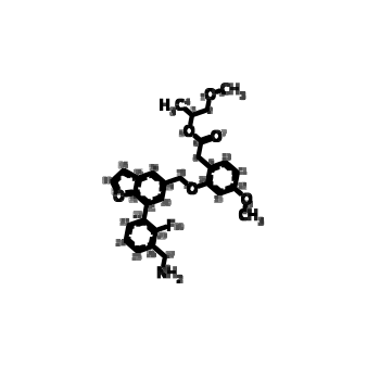 COCC(C)OC(=O)Cc1ccc(OC)cc1OCc1cc(-c2cccc(CN)c2F)c2occc2c1